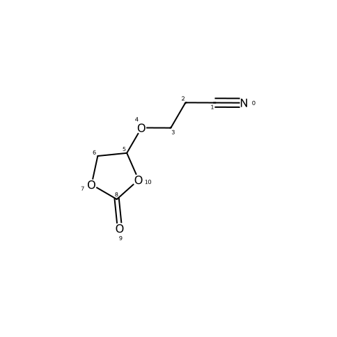 N#CCCOC1COC(=O)O1